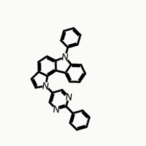 c1ccc(-c2ncc(-n3ccc4ccc5c(c6ccccc6n5-c5ccccc5)c43)cn2)cc1